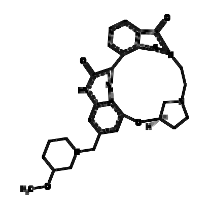 COC1CCCN(Cc2cc3c4nc(c(=O)[nH]c4c2)-c2cccc4c(=O)n(sc24)CCN2CC[C@H](C2)O3)C1